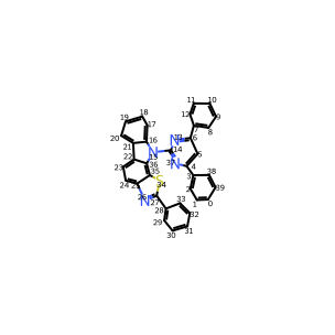 c1ccc(-c2cc(-c3ccccc3)nc(-n3c4ccccc4c4ccc5nc(-c6ccccc6)sc5c43)n2)cc1